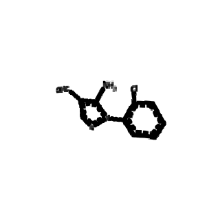 Nc1c(C=O)cnn1-c1ccccc1Cl